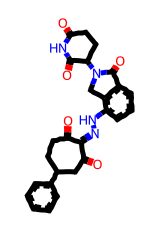 O=C1CCC(N2Cc3c(N/N=C4\C(=O)CCC(c5ccccc5)CC4=O)cccc3C2=O)C(=O)N1